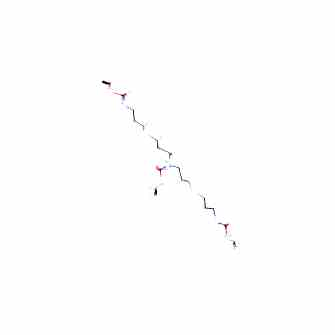 C=COC(=O)NCCCOCCCN(CCCOCCCNC(=O)OC=C)C(=O)OC=C